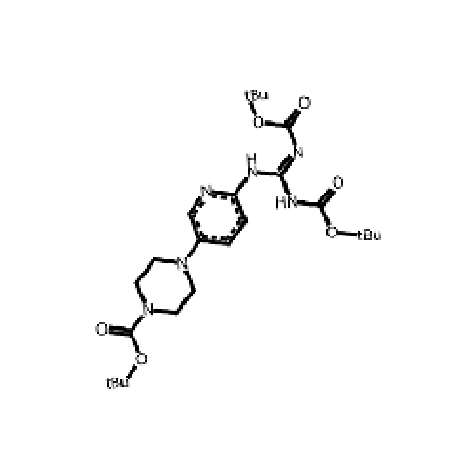 CC(C)(C)OC(=O)N=C(NC(=O)OC(C)(C)C)Nc1ccc(N2CCN(C(=O)OC(C)(C)C)CC2)cn1